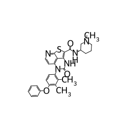 Cc1c(Oc2ccccc2)ccc(N2C(=O)Nc3c(C(=O)N[C@@H]4CCCN(C)C4)sc4nccc2c34)c1C